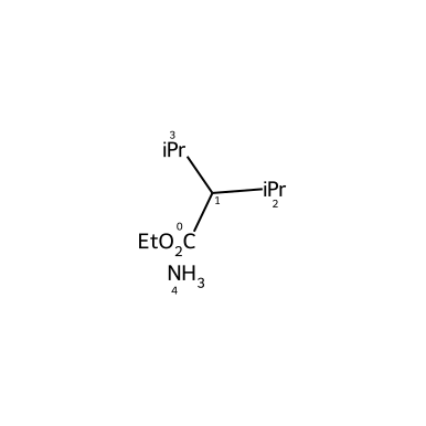 CCOC(=O)C(C(C)C)C(C)C.N